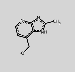 Cc1nc2nccc(C[O])c2[nH]1